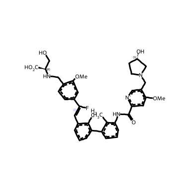 COc1cc(/C(F)=C/c2cccc(-c3cccc(NC(=O)c4cc(OC)c(CN5CC[C@H](O)C5)cn4)c3C)c2C)ccc1CN[C@H](CO)C(=O)O